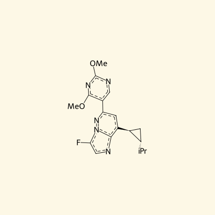 COc1ncc(-c2cc([C@H]3C[C@@H]3C(C)C)c3ncc(F)n3n2)c(OC)n1